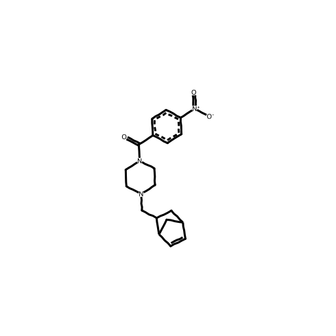 O=C(c1ccc([N+](=O)[O-])cc1)N1CCN(CC2CC3C=CC2C3)CC1